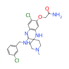 CN1CCC2(CC1)Nc1cc(OCC(N)=O)c(Cl)cc1N=C2NCc1cccc(Cl)c1